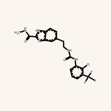 CNC(=O)c1nc2cc(CCNC(=O)Nc3cccc(C(F)(F)F)c3Cl)ccc2[nH]1